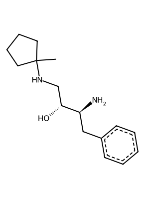 CC1(NC[C@@H](O)[C@@H](N)Cc2ccccc2)CCCC1